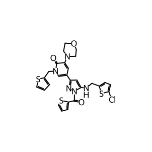 O=C(c1cccs1)n1nc(-c2cc(N3CCOCC3)c(=O)n(Cc3cccs3)c2)cc1NCc1ccc(Cl)s1